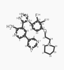 Nc1ncc(-c2cncnc2)cc1-c1nnnn1-c1ccc(OCCN2CCCCC2)c(F)c1F